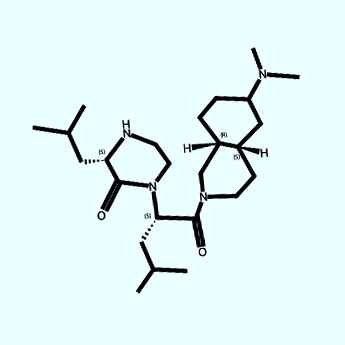 CC(C)C[C@@H]1NCCN([C@@H](CC(C)C)C(=O)N2CC[C@H]3CC(N(C)C)CC[C@H]3C2)C1=O